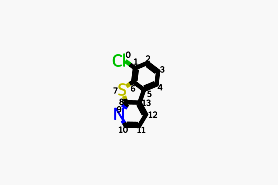 Clc1cccc2c1sc1ncccc12